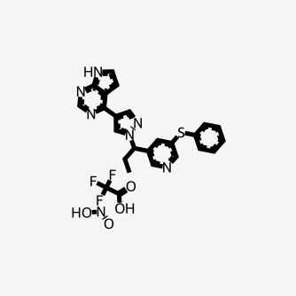 CCC(c1cncc(Sc2ccccc2)c1)n1cc(-c2ncnc3[nH]ccc23)cn1.O=C(O)C(F)(F)F.O=NO